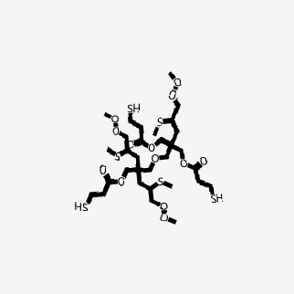 COOCC(CC(COCC(COC(=O)CCS)(CC(COOC)SC)CC(COOC)SC)(COC(=O)CCS)COC(=O)CCS)SC